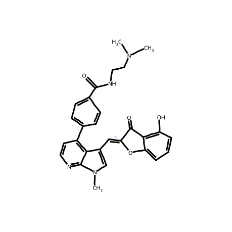 CN(C)CCNC(=O)c1ccc(-c2ccnc3c2c(/C=C2\Oc4cccc(O)c4C2=O)cn3C)cc1